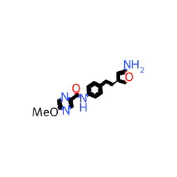 COc1cnc(C(=O)Nc2ccc(CC[C@H]3C=C(N)OC3)cc2)cn1